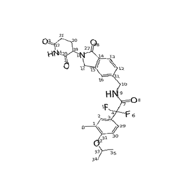 Cc1cc(C(F)(F)C(=O)NCc2ccc3c(c2)CN(C2CCC(=O)NC2=O)C3=O)ccc1OC(C)C